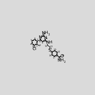 Cc1c(Cl)cccc1-c1cc(NCCSc2ccc(C(N)=O)cc2)nc(N)n1